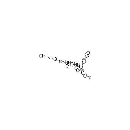 CN(C)c1ccc(/C=C2N=C(/C=C/c3ccc(N4CCOCC4)cc3)N(CC(=O)NC3CCC(C(=O)NCCOCCOCCCCCCCl)CC3)C\2=O)cc1